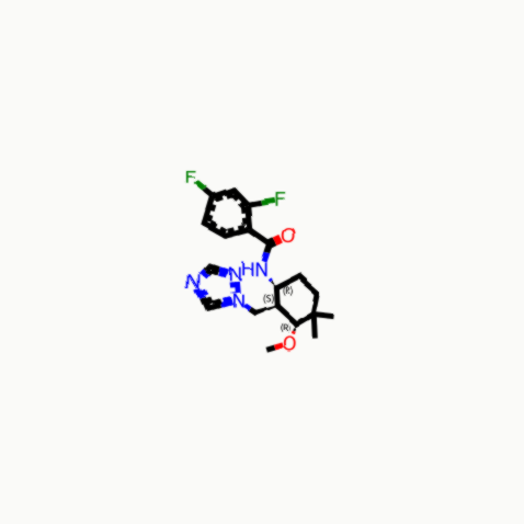 CO[C@@H]1[C@@H](Cn2cncn2)[C@H](NC(=O)c2ccc(F)cc2F)CCC1(C)C